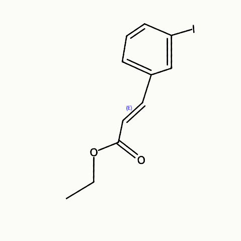 CCOC(=O)/C=C/c1cccc(I)c1